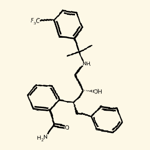 CC(C)(NC[C@H](O)[C@@H](Cc1ccccc1)c1ccccc1C(N)=O)c1cccc(C(F)(F)F)c1